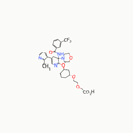 Cc1ncccc1C1=CN=C(O[C@@H]2CCC[C@@H](OCCOCC(=O)O)C2)C(NC(=O)c2cccc(C(F)(F)F)c2)(N2CCOCC2)C1